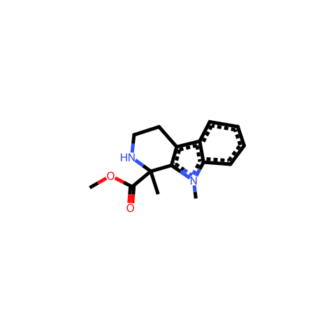 COC(=O)C1(C)NCCc2c1n(C)c1ccccc21